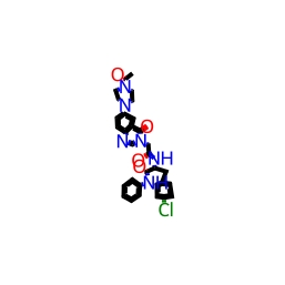 CC(=O)N1CCN(c2ccc3ncn(CC(=O)NC(Cc4ccc(Cl)cc4)C(=O)Nc4ccccc4)c(=O)c3c2)CC1